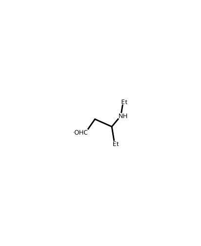 CCNC(CC)C[C]=O